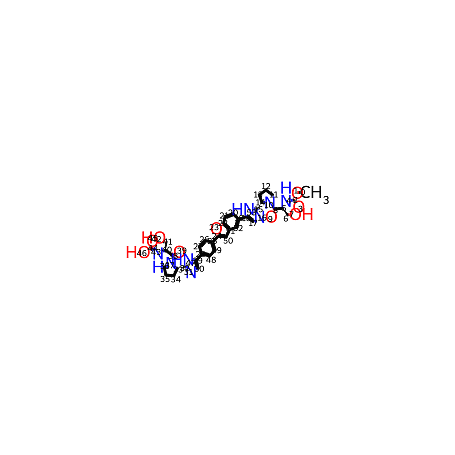 COC(=O)N[C@@H](CO)C(=O)N1CCC[C@H]1c1ncc(-c2ccc3oc(-c4ccc(-c5cnc([C@@H]6CCCN6C(=O)[C@H](CO)NC(=O)O)[nH]5)cc4)cc3c2)[nH]1